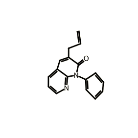 C=CCc1cc2cccnc2n(-c2ccccc2)c1=O